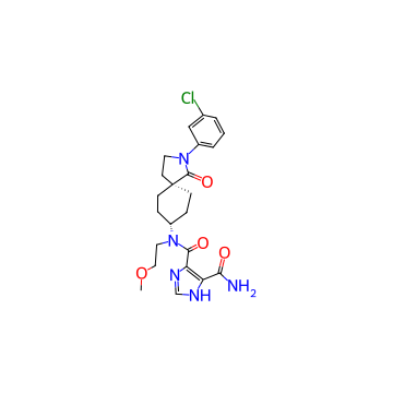 COCCN(C(=O)c1nc[nH]c1C(N)=O)[C@H]1CC[C@@]2(CCN(c3cccc(Cl)c3)C2=O)CC1